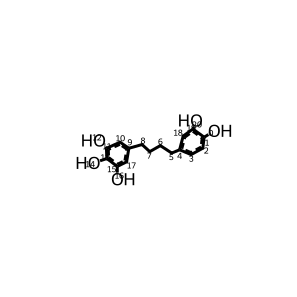 Oc1ccc(CCCCc2cc(O)c(O)c(O)c2)cc1O